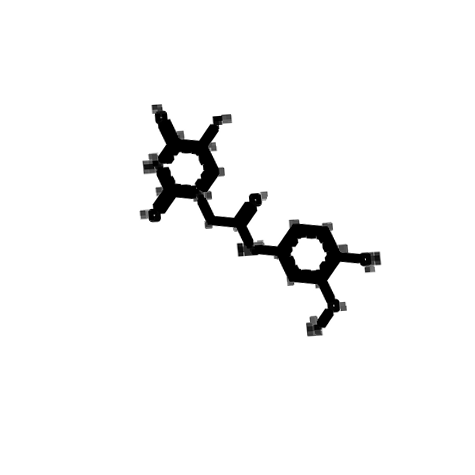 CCOc1cc(NC(=O)Cn2cc(F)c(=O)[nH]c2=O)ccc1O